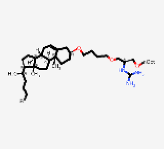 CCCCCCCCOC[C@H](COCCCCO[C@H]1CC[C@@]2(C)C(=CC[C@H]3[C@@H]4CC[C@H]([C@H](C)CCCC(C)C)[C@@]4(C)CC[C@@H]32)C1)NC(N)N